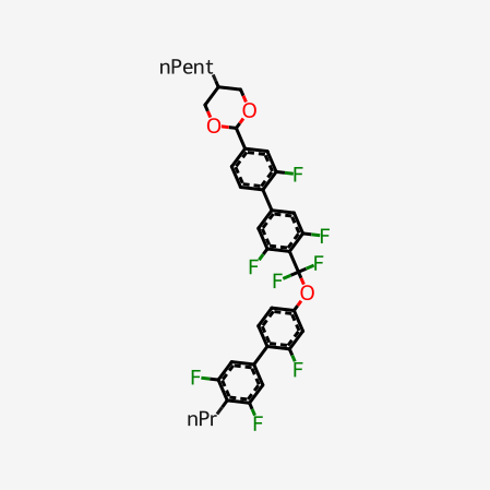 CCCCCC1COC(c2ccc(-c3cc(F)c(C(F)(F)Oc4ccc(-c5cc(F)c(CCC)c(F)c5)c(F)c4)c(F)c3)c(F)c2)OC1